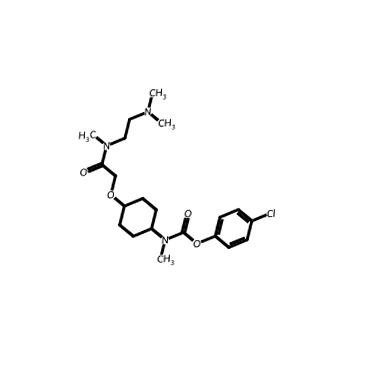 CN(C)CCN(C)C(=O)COC1CCC(N(C)C(=O)Oc2ccc(Cl)cc2)CC1